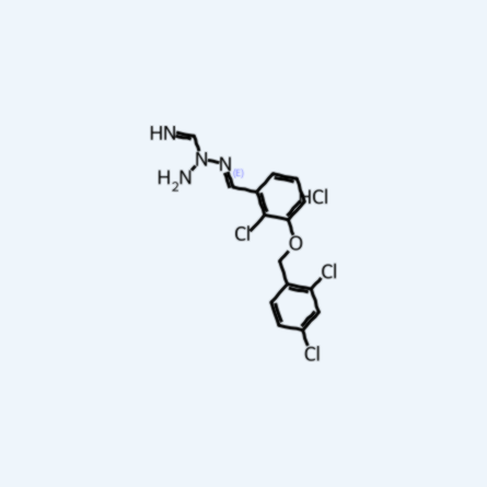 Cl.N=CN(N)/N=C/c1cccc(OCc2ccc(Cl)cc2Cl)c1Cl